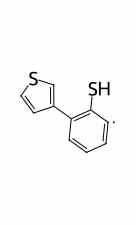 Sc1[c]cccc1-c1ccsc1